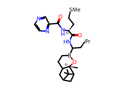 CSCC[C@H](NC(=O)c1cnccn1)C(=O)NC(CC(C)C)B1CCC2CC3CC(C3(C)C)[C@@]2(C)O1